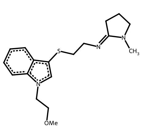 COCCn1cc(SCCN=C2CCCN2C)c2ccccc21